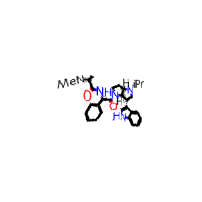 CN[C@@H](C)C(=O)N[C@H](C(=O)N1CC[C@@H]2[C@H]1[C@@H](c1c[nH]c3ccccc13)CN2C(C)C)C1CCCCC1